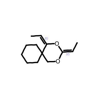 C/C=C1/OCC2(CCCCC2)/C(=C\C)O1